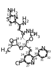 CO[C@@H](CN(N)/C=C(\N)c1csc(N)n1)C(OC1COC1C)Sc1cc(Cl)cnc1-c1cccnc1